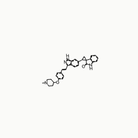 CN1CCC(Oc2ccc(/C=C/c3n[nH]c4cc(C5CC56C(=O)Nc5ccccc56)ccc34)cc2)CC1